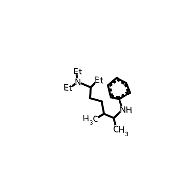 CCC(CCC(C)C(C)Nc1ccccc1)N(CC)CC